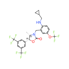 C[C@H]1[C@@H](c2cc(C(F)(F)F)cc(C(F)(F)F)c2)OC(=O)N1Cc1cc(OC(F)(F)F)ccc1NCC1CC1